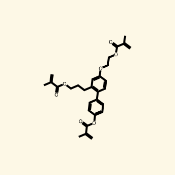 C=C(C)C(=O)OCCCc1cc(OCCOC(=O)C(=C)C)ccc1-c1ccc(OC(=O)C(=C)C)cc1